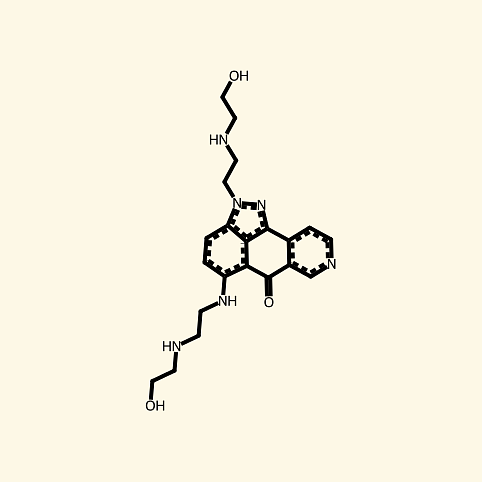 O=C1c2cnccc2-c2nn(CCNCCO)c3ccc(NCCNCCO)c1c23